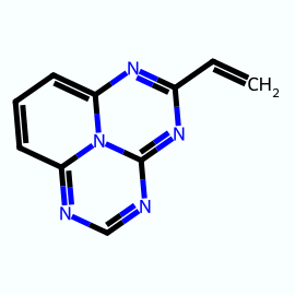 C=CC1=NC2=CC=CC3=NC=NC(=N1)N23